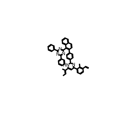 C=Cc1cccc(C2=NC(c3ccc(-c4ccc5ccccc5c4-c4nc(-c5ccccc5)nc(-c5ccccc5)n4)cc3)NC(/C(C)=C/C)=C2)c1C